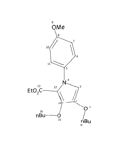 CCCCOc1cn(-c2ccc(OC)cc2)c(C(=O)OCC)c1OCCCC